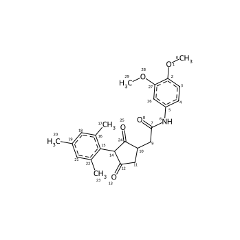 COc1ccc(NC(=O)CC2CC(=O)C(c3c(C)cc(C)cc3C)C2=O)cc1OC